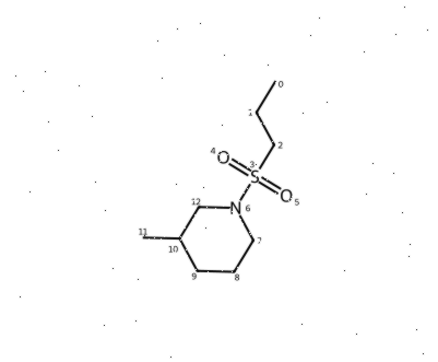 CCCS(=O)(=O)N1CCCC(C)C1